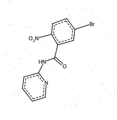 O=C(Nc1ccccn1)c1cc(Br)ccc1[N+](=O)[O-]